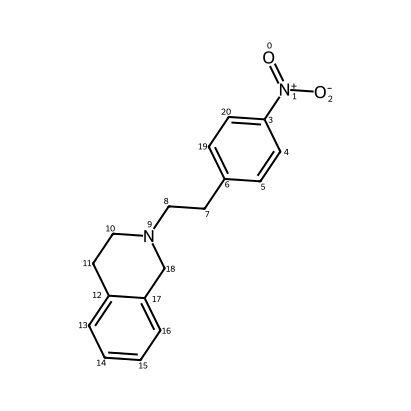 O=[N+]([O-])c1ccc(CCN2CCc3ccccc3C2)cc1